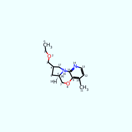 CCOCC1C[C@@H]2COc3c(C)ccnc3N2C1